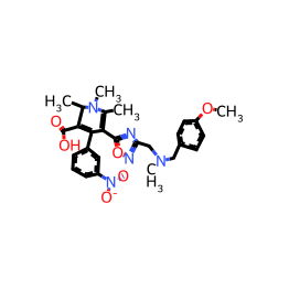 COc1ccc(CN(C)Cc2noc(C3=C(C)N(C)C(C)C(C(=O)O)=C3c3cccc([N+](=O)[O-])c3)n2)cc1